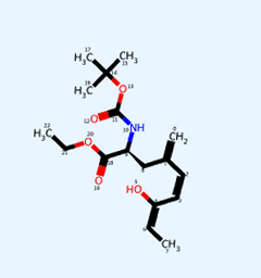 C=C(/C=C\C(O)=C/C)C[C@H](NC(=O)OC(C)(C)C)C(=O)OCC